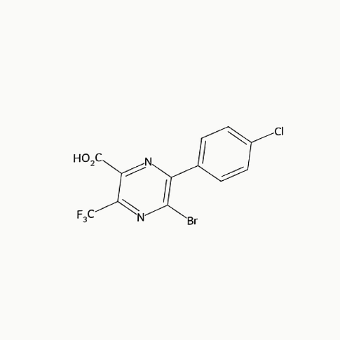 O=C(O)c1nc(-c2ccc(Cl)cc2)c(Br)nc1C(F)(F)F